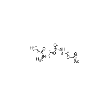 C=CC(=O)N(C)CCOC(=O)NCCOC(=O)C(C)=O